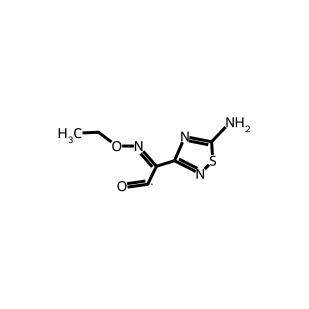 CCO/N=C(\[C]=O)c1nsc(N)n1